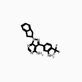 Nc1cc(-c2nn(C3Cc4ccccc4C3)c3ncnc(N)c23)ccc1C(F)(F)F